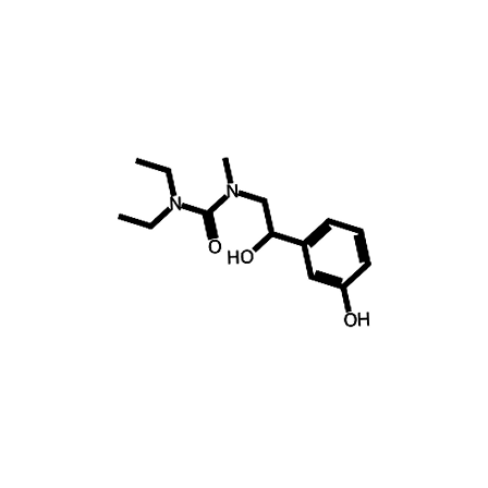 CCN(CC)C(=O)N(C)CC(O)c1cccc(O)c1